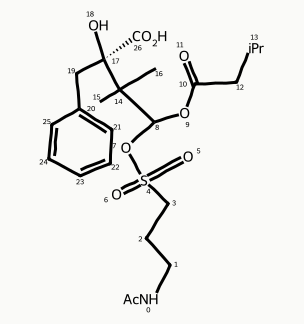 CC(=O)NCCCS(=O)(=O)OC(OC(=O)CC(C)C)C(C)(C)[C@](O)(Cc1ccccc1)C(=O)O